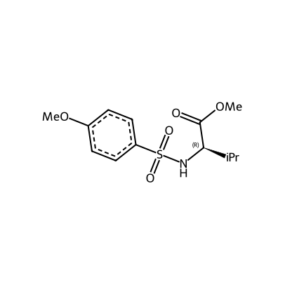 COC(=O)[C@H](NS(=O)(=O)c1ccc(OC)cc1)C(C)C